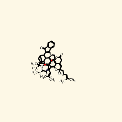 COC(=O)/C(C)=C\CC12OC(C)(C)C3CC(C1=O)C1C4=C(c5ccccc5C4=O)N4CCNC45c4c(c(CC=C(C)C)c6c7c4OC(=O)CC7=CC(C)(CCC=C(C)C)O6)OC32C15